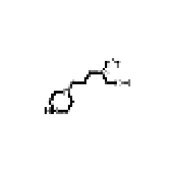 CCC[C@H](CO)CCCN1CCNCC1